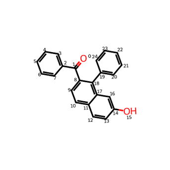 O=C(c1ccccc1)c1ccc2ccc(O)cc2c1-c1ccccc1